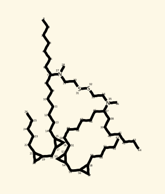 CCCCCCCC(CCCCCCCC1CC1CC1CC1CCCCC)N(C)CCSSCCN(C)C(CCCCCCC)CCCCCCCC1CC1CC1CC1CCCCC